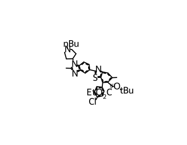 CCCCN1CCC(n2c(C)nc3cc(-c4nc5cc(C)c([C@H](OC(C)(C)C)C(=O)OCC)c(-c6ccc(Cl)cc6)c5s4)ccc32)CC1